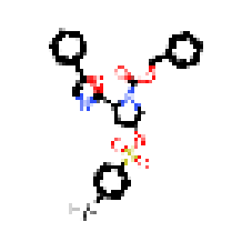 Cc1ccc(S(=O)(=O)O[C@@H]2C[C@@H](c3ncc(-c4ccccc4)o3)N(C(=O)OCc3ccccc3)C2)cc1